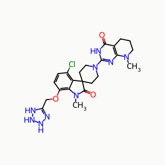 CN1CCCc2c1nc(N1CCC3(CC1)C(=O)N(C)c1c(OCC4=NNNN4)ccc(Cl)c13)[nH]c2=O